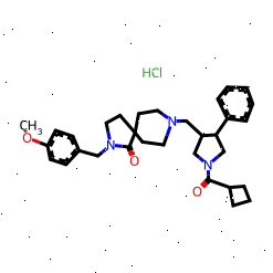 COc1ccc(CN2CCC3(CCN(CC4CN(C(=O)C5CCC5)CC4c4ccccc4)CC3)C2=O)cc1.Cl